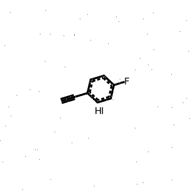 C#Cc1ccc(F)cc1.I